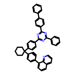 c1c(-c2cccc3cccnc23)ccc(C2(c3ccc(-c4nc(-c5ccccc5)nc(-c5ccc(-c6ccccc6)cc5)n4)cc3)CCCCC2)c#1